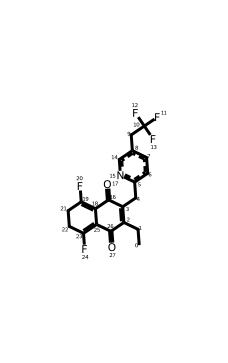 CCC1=C(Cc2ccc(CC(F)(F)F)cn2)C(=O)C2=C(F)CCC(F)=C2C1=O